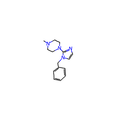 CN1CCN(c2nccn2Cc2ccccc2)CC1